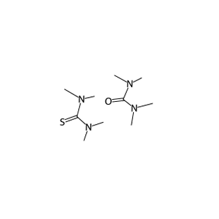 CN(C)C(=O)N(C)C.CN(C)C(=S)N(C)C